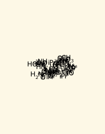 CC(C)C[C@H](NC(=O)[C@@H]1CCCN1C(=O)CNC(=O)[C@H](C)NC(=O)[C@H](CC(C)C)NC(=O)CNC(=O)[C@H](CC(C)C)NC(=O)[C@H](CCC(N)=O)NC(=O)CNC(=O)[C@@H]1C[C@@H](O)CN1)C(=O)O